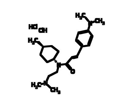 CN(C)CCN(C(=O)C=Cc1ccc(N(C)C)cc1)[C@H]1CC[C@H](C)CC1.Cl.Cl